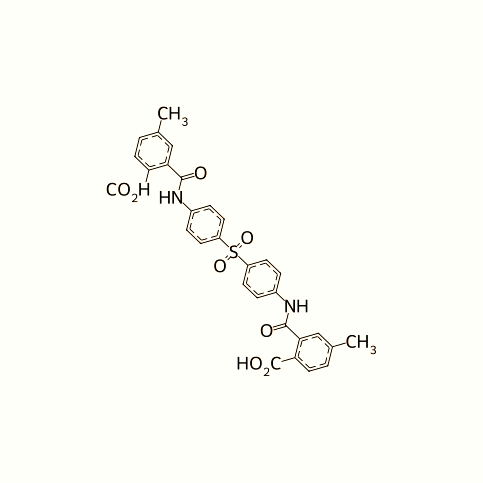 Cc1ccc(C(=O)O)c(C(=O)Nc2ccc(S(=O)(=O)c3ccc(NC(=O)c4cc(C)ccc4C(=O)O)cc3)cc2)c1